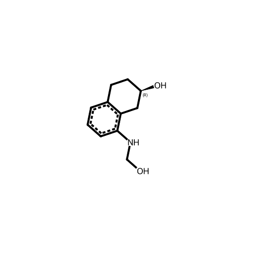 OCNc1cccc2c1C[C@H](O)CC2